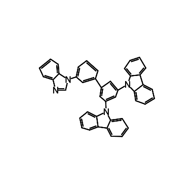 c1cc(-c2cc(-n3c4ccccc4c4ccccc43)cc(-n3c4ccccc4c4ccccc43)c2)cc(-n2cnc3ccccc32)c1